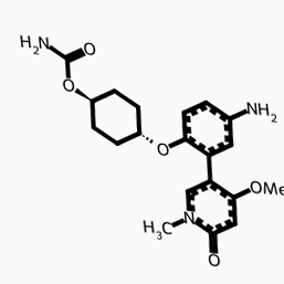 COc1cc(=O)n(C)cc1-c1cc(N)ccc1O[C@H]1CC[C@H](OC(N)=O)CC1